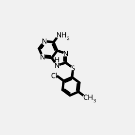 Cc1ccc(Cl)c(Sc2nc3c(N)ncnc3[nH]2)c1